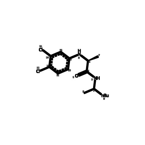 CCCCC(C)NC(=O)[C@H](C)Nc1ccc(Cl)c(Cl)c1